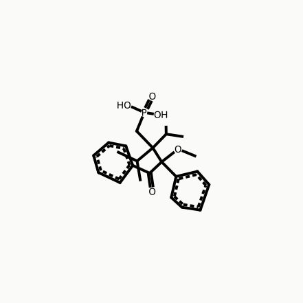 COC(C(=O)c1ccccc1)(c1ccccc1)C(CP(=O)(O)O)(C(C)C)C(C)C